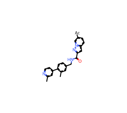 CC(=O)c1ccc2cc(C(=O)NCc3ccc(-c4ccnc(C)c4)c(C)c3)nn2c1